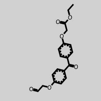 CCOC(=O)COc1ccc(C(=O)c2ccc(OCC=O)cc2)cc1